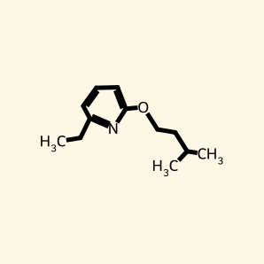 CCc1cccc(OCCC(C)C)n1